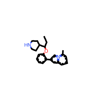 CCC(Oc1ccccc1-c1cc2cccc(C)n2c1)C1CCNCC1